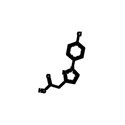 O=C(O)Cc1ccn(-c2ccc(Cl)cc2)n1